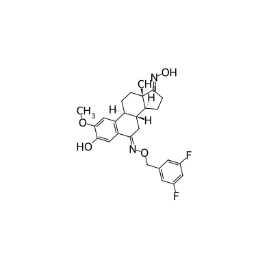 COc1cc2c(cc1O)C(=NOCc1cc(F)cc(F)c1)C[C@@H]1[C@@H]2CC[C@]2(C)C(=NO)CC[C@@H]12